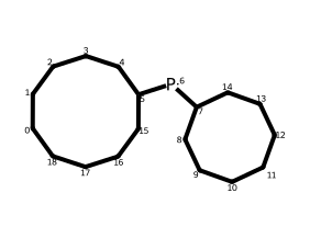 C1CCCCC([P]C2CCCCCCC2)CCCC1